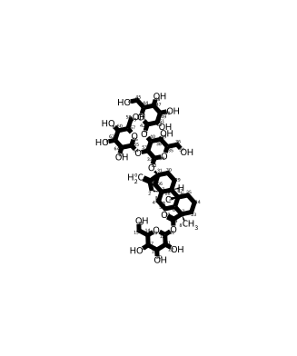 C=C1C[C@@]23CCC4[C@](C)(C(=O)OC5OC(CO)C(O)C(O)C5O)CCC[C@@]4(C)[C@@H]2CC[C@]1(OC1OC(CO)C(O)C(OC2OC(CO)C(O)C(O)C2O)C1OC1OC(CO)C(O)C(O)C1O)C3